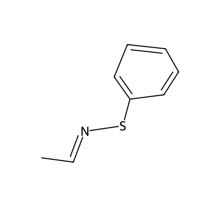 CC=NSc1ccccc1